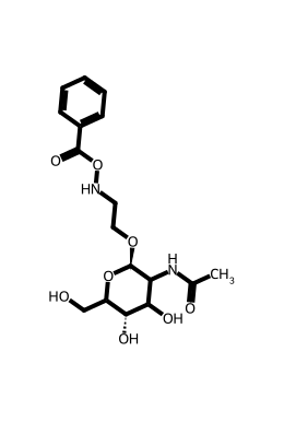 CC(=O)NC1C(O)[C@H](O)C(CO)O[C@H]1OCCNOC(=O)c1ccccc1